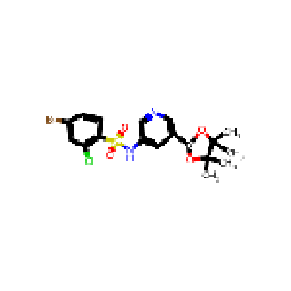 CC1(C)OB(c2cncc(NS(=O)(=O)c3ccc(Br)cc3Cl)c2)OC1(C)C